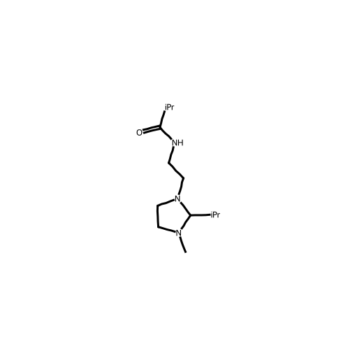 CC(C)C(=O)NCCN1CCN(C)C1C(C)C